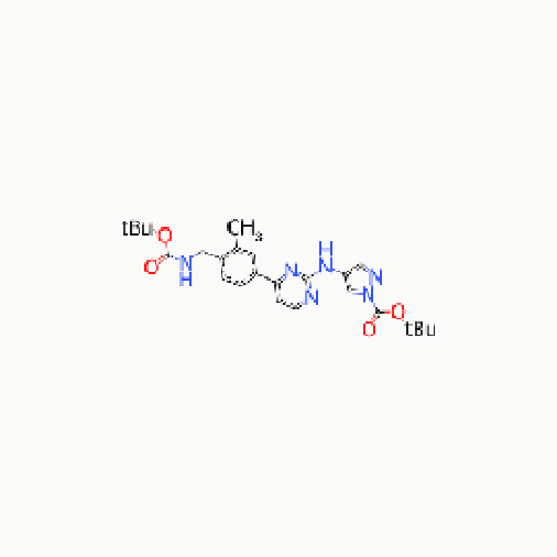 Cc1cc(-c2ccnc(Nc3cnn(C(=O)OC(C)(C)C)c3)n2)ccc1CNC(=O)OC(C)(C)C